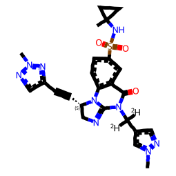 [2H]C([2H])(c1cnn(C)c1)N1C(=O)c2cc(S(=O)(=O)NC3(C)CC3)ccc2N2C1=NC[C@@H]2C#Cc1cnn(C)n1